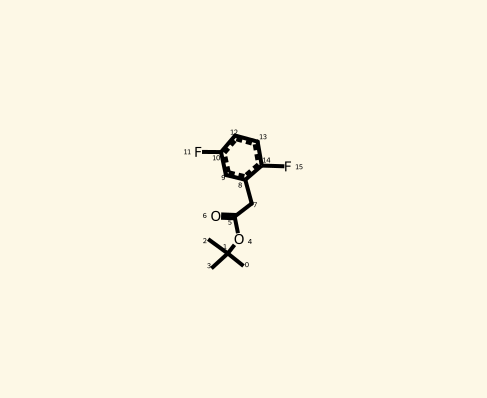 CC(C)(C)OC(=O)Cc1cc(F)ccc1F